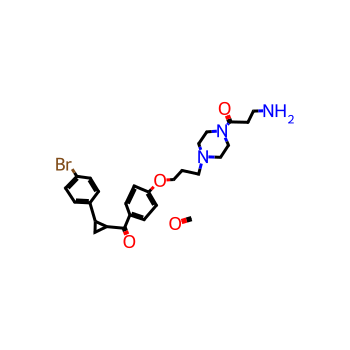 C=O.NCCC(=O)N1CCN(CCCOc2ccc(C(=O)C3CC3c3ccc(Br)cc3)cc2)CC1